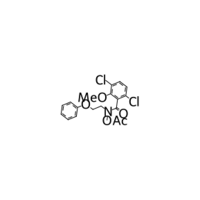 COc1c(Cl)ccc(Cl)c1C(=O)N(CCOc1ccccc1)OC(C)=O